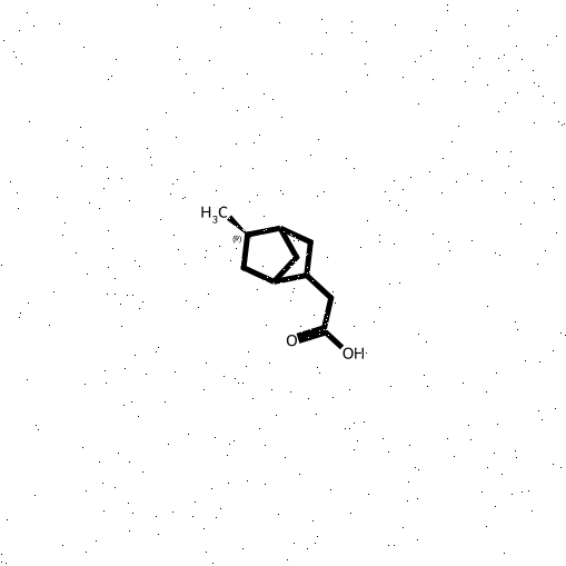 C[C@@H]1CC2CC1CC2CC(=O)O